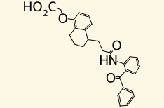 O=C(O)COc1cccc2c1CCCC2CCC(=O)Nc1ccccc1C(=O)c1ccccc1